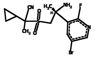 CC(C#N)(C1CC1)S(=O)(=O)C[C@](C)(N)c1cc(Br)cnc1F